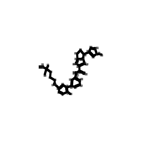 Cc1ccc(OCCCC(C)(C)O)cc1-c1ccnc(NC(=O)c2nc3n(n2)C(c2cnn(C)c2)CC3)c1